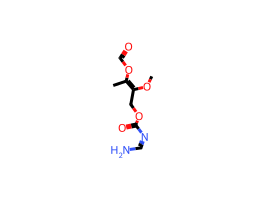 CO/C(COC(=O)/N=C\N)=C(/C)OC=O